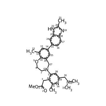 COC(=O)Cc1c(N2CCOc3c(C)cc(-c4ccc5nc(C)[nH]c5c4)cc3C2)cc(CN(C)C)nc1C